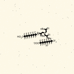 CCCCC(CC)CN(CC(CC)CCCC)CC(CC)CCCC.O=C(O)C(F)(F)C(F)(F)C(F)(F)C(F)(F)C(F)(F)C(F)(F)C(F)(F)F.O=C([O-])C(F)(F)C(F)(F)C(F)(F)C(F)(F)C(F)(F)C(F)(F)C(F)(F)F.[H+]